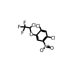 O=[N+]([O-])c1cc(OC(Cl)C(F)(F)F)c(Cl)cc1Cl